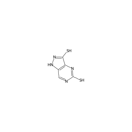 Sc1ncc2[nH]nc(S)c2n1